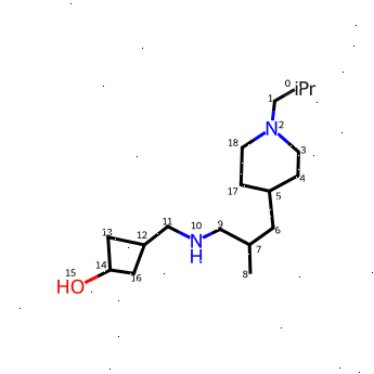 CC(C)CN1CCC(CC(C)CNCC2CC(O)C2)CC1